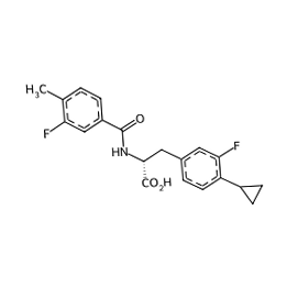 Cc1ccc(C(=O)N[C@H](Cc2ccc(C3CC3)c(F)c2)C(=O)O)cc1F